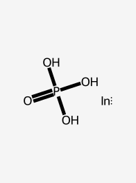 O=P(O)(O)O.[In]